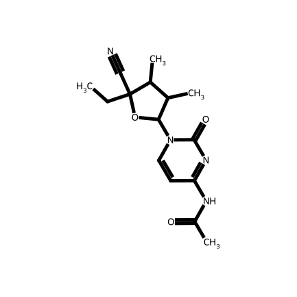 CCC1(C#N)OC(n2ccc(NC(C)=O)nc2=O)C(C)C1C